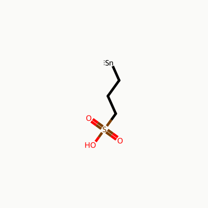 O=S(=O)(O)CC[CH2][Sn]